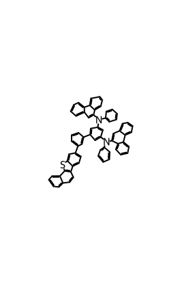 c1ccc(N(c2cc(-c3cccc(-c4ccc5c(c4)sc4c6ccccc6ccc54)c3)cc(N(c3ccccc3)c3cc4ccccc4c4ccccc34)c2)c2cc3ccccc3c3ccccc23)cc1